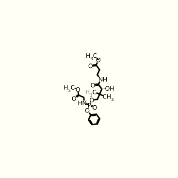 COC(=O)CCNC(=O)[C@H](O)C(C)(C)COP(=O)(NCC(=O)OC)Oc1ccccc1